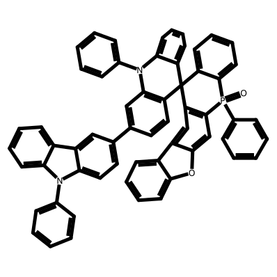 O=P1(c2ccccc2)c2ccccc2C2(c3ccccc3N(c3ccccc3)c3cc(-c4ccc5c(c4)c4ccccc4n5-c4ccccc4)ccc32)c2cc3c(cc21)oc1ccccc13